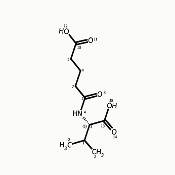 CC(C)[C@H](NC(=O)CCCC(=O)O)C(=O)O